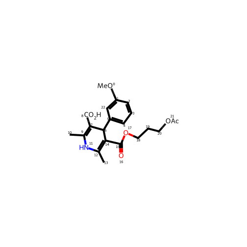 COc1cccc(C2C(C(=O)O)=C(C)NC(C)=C2C(=O)OCCCOC(C)=O)c1